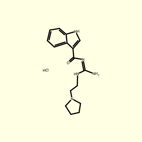 Cl.NC(=NC(=O)c1c[nH]c2ccccc12)NCCN1CCCC1